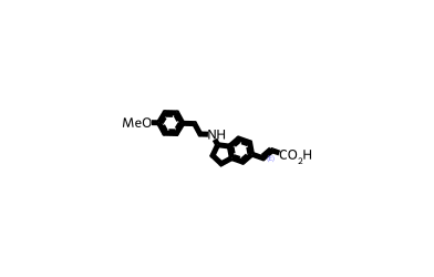 COc1ccc(CCNC2CCc3cc(/C=C/C(=O)O)ccc32)cc1